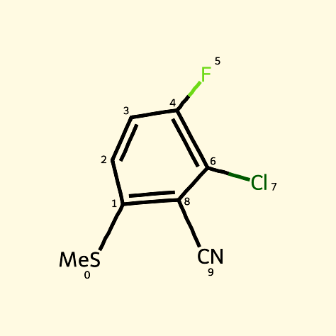 CSc1ccc(F)c(Cl)c1C#N